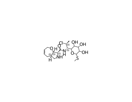 CSC1OC([C@H](NC(=O)[C@H]2NC[C@@H]3CC=CCO[C@@H]32)[C@H](C)Cl)C(O)C(O)C1O